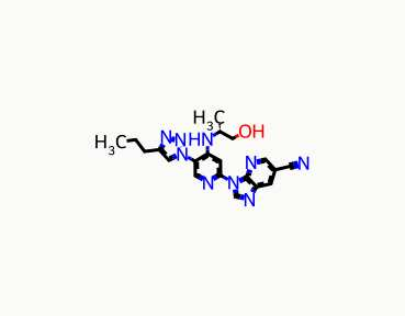 CCCc1cn(-c2cnc(-n3cnc4cc(C#N)cnc43)cc2N[C@H](C)CO)nn1